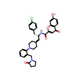 O=C(N[C@H](C=C1CCN(c2ccccc2CN2CCCC2=O)CC1)Cc1ccc(Cl)cc1)c1cc(=O)c2ccc(O)cc2o1